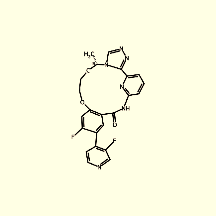 C[C@H]1CCCOc2cc(F)c(-c3ccncc3F)cc2C(=O)Nc2cccc(n2)-c2nncn21